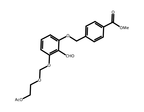 COC(=O)c1ccc(COc2cccc(OCOCCOC(C)=O)c2C=O)cc1